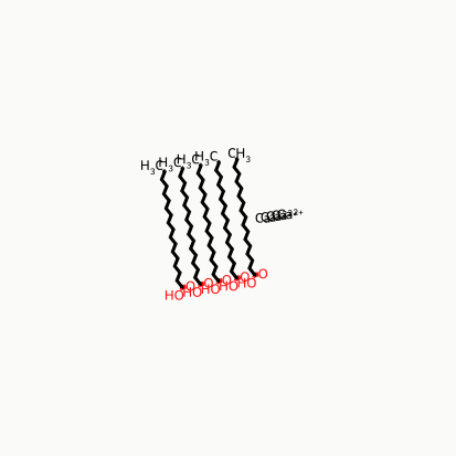 CCCCCCCCCCCCCCCCCC(=O)O.CCCCCCCCCCCCCCCCCC(=O)O.CCCCCCCCCCCCCCCCCC(=O)O.CCCCCCCCCCCCCCCCCC(=O)O.CCCCCCCCCCCCCCCCCC(=O)O.[Ca+2].[Ca+2].[Ca+2].[Ca+2].[Ca+2]